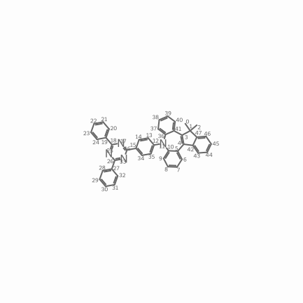 CC1(C)C2=C(c3ccccc3N(c3ccc(-c4nc(-c5ccccc5)nc(-c5ccccc5)n4)cc3)c3ccccc32)c2ccccc21